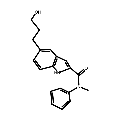 CN(C(=O)c1cc2cc(CCCO)ccc2[nH]1)c1ccccc1